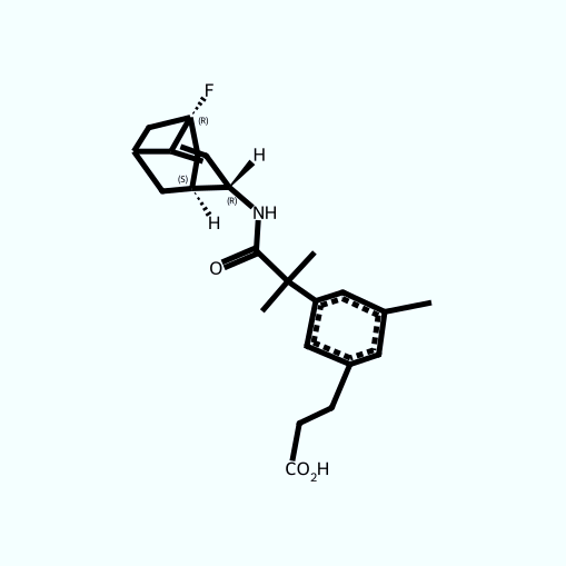 Cc1cc(CCC(=O)O)cc(C(C)(C)C(=O)N[C@H]2C=C3C4C[C@H]2C[C@]3(F)C4)c1